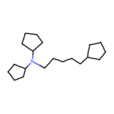 C(CCC1CCCC1)CCN(C1CCCC1)C1CCCC1